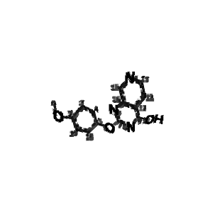 COc1ccc(Oc2nc(O)c3ccncc3n2)cc1